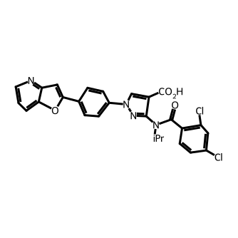 CC(C)N(C(=O)c1ccc(Cl)cc1Cl)c1nn(-c2ccc(-c3cc4ncccc4o3)cc2)cc1C(=O)O